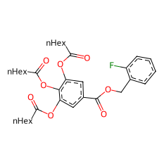 CCCCCCC(=O)Oc1cc(C(=O)OCc2ccccc2F)cc(OC(=O)CCCCCC)c1OC(=O)CCCCCC